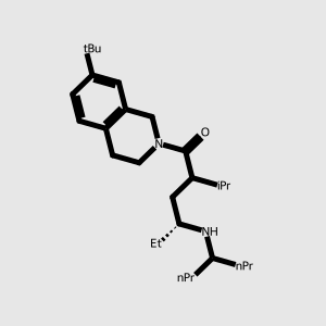 CCCC(CCC)N[C@H](CC)CC(C(=O)N1CCc2ccc(C(C)(C)C)cc2C1)C(C)C